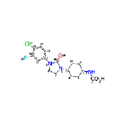 O=C(O)N[C@H]1CC[C@H](N2CCN(c3ccc(Cl)c(F)c3)C2=O)CC1